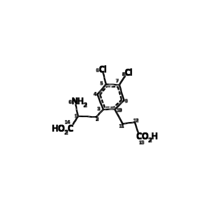 NC(Cc1cc(Cl)c(Cl)cc1CCC(=O)O)C(=O)O